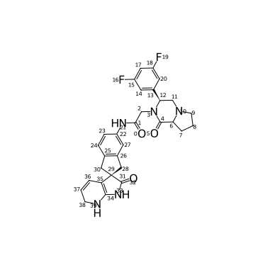 O=C(CN1C(=O)C2CCCN2C[C@@H]1c1cc(F)cc(F)c1)Nc1ccc2c(c1)C[C@@]1(C2)C(=O)NC2=C1C=CCN2